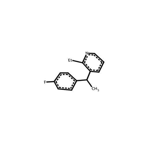 CCc1ncccc1C(C)c1ccc(F)cc1